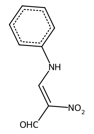 O=CC(=CNc1ccccc1)[N+](=O)[O-]